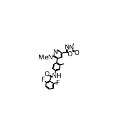 CNc1ncc(-c2nn(C)c(=O)o2)cc1-c1ccc(NC(=O)c2c(F)cccc2F)cc1C